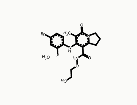 Cc1c(Nc2ccc(Br)cc2F)c(C(=O)NOCCO)c2n(c1=O)CCC2.O